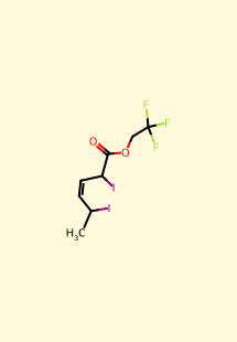 CC(I)/C=C\C(I)C(=O)OCC(F)(F)F